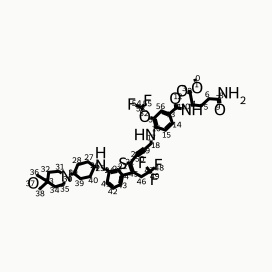 COC(=O)C(CCC(N)=O)NC(=O)c1ccc(NCC#Cc2sc3c(NC4CCC(N5CCC6(CC5)COC6)CC4)cccc3c2CC(F)(F)F)c(OC(F)F)c1